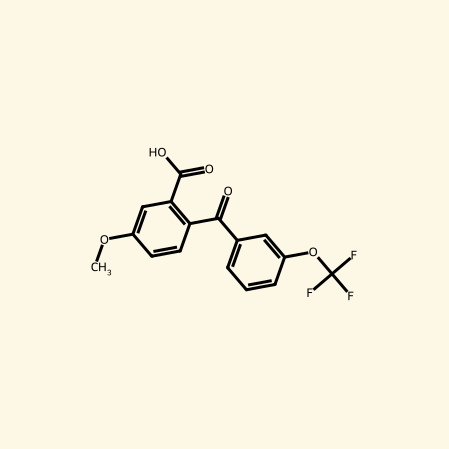 COc1ccc(C(=O)c2cccc(OC(F)(F)F)c2)c(C(=O)O)c1